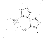 O=C([O-])c1cccs1.O=C([O-])c1cccs1.[Cu+2]